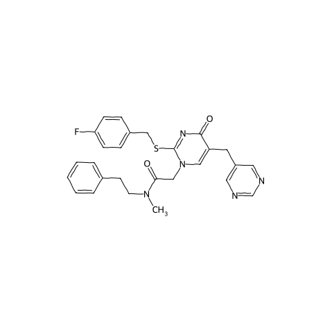 CN(CCc1ccccc1)C(=O)Cn1cc(Cc2cncnc2)c(=O)nc1SCc1ccc(F)cc1